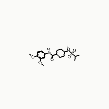 COc1ccc(NC(=O)C2CCC(NS(=O)(=O)C(C)C)CC2)cc1OC